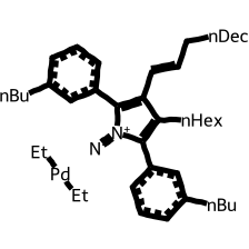 CCCCCCCCCCCC=CC1=C(c2cccc(CCCC)c2)[N+](=[N-])C(c2cccc(CCCC)c2)=C1CCCCCC.C[CH2][Pd][CH2]C